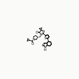 O=C(C1CC1)N1CC[C@@H](CN2C(=O)C3(CC3)N=C2c2ccc(-c3cccc4[nH]ncc34)s2)C1